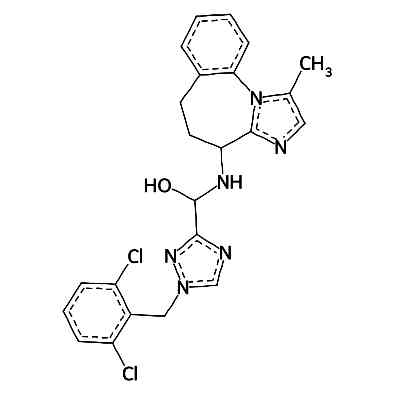 Cc1cnc2n1-c1ccccc1CCC2NC(O)c1ncn(Cc2c(Cl)cccc2Cl)n1